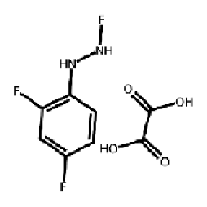 FNNc1ccc(F)cc1F.O=C(O)C(=O)O